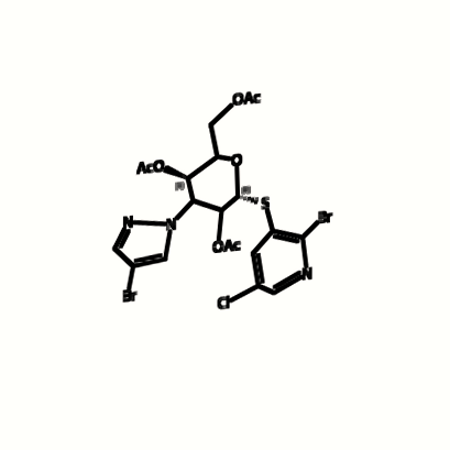 CC(=O)OCC1O[C@H](Sc2cc(Cl)cnc2Br)C(OC(C)=O)C(n2cc(Br)cn2)[C@H]1OC(C)=O